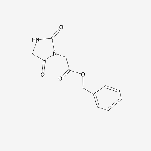 O=C(CN1C(=O)CNC1=O)OCc1ccccc1